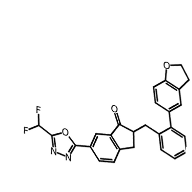 O=C1c2cc(-c3nnc(C(F)F)o3)ccc2CC1Cc1ccccc1-c1ccc2c(c1)CCO2